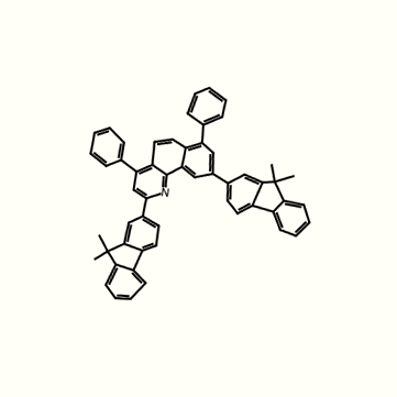 CC1(C)c2ccccc2-c2ccc(-c3cc(-c4ccccc4)c4ccc5c(-c6ccccc6)cc(-c6ccc7c(c6)C(C)(C)c6ccccc6-7)nc5c4c3)cc21